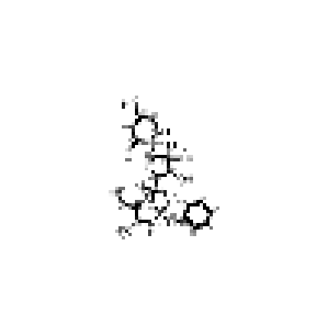 [2H]C([2H])(O[P@@](=O)(N[C@@H](C)C(=O)OC(C)C)Oc1ccccc1)[C@H]1O[C@@H](N2NCC(O)=NC2=O)[C@](C)(F)[C@@H]1O